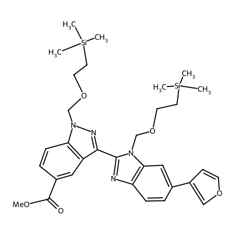 COC(=O)c1ccc2c(c1)c(-c1nc3ccc(-c4ccoc4)cc3n1COCC[Si](C)(C)C)nn2COCC[Si](C)(C)C